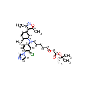 Cc1ccc(-c2c(C)noc2C)cc1N(CCCCCOCC(=O)OC(C)(C)C)c1ccc(-n2ccnc2)c(Cl)c1